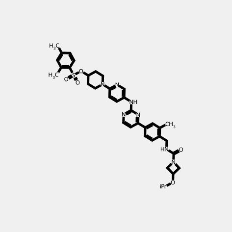 Cc1ccc(S(=O)(=O)OC2CCN(c3ccc(Nc4nccc(-c5ccc(CNC(=O)N6CC(OC(C)C)C6)c(C)c5)n4)cn3)CC2)c(C)c1